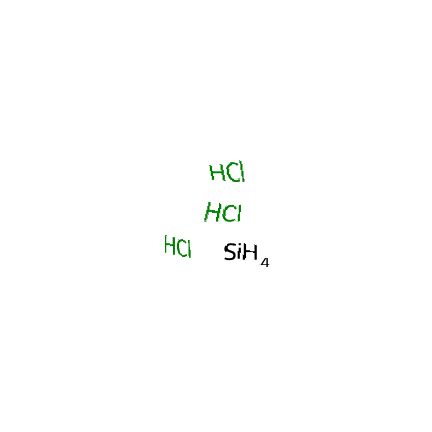 Cl.Cl.Cl.[SiH4]